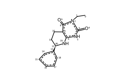 CCn1c(=O)[nH]c2c(c1=O)CC[C@H](c1ccccc1)N2